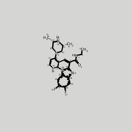 CCNC(=O)C1=CC2=C(N3C[C@@H](C)N[C@@H](C)C3)C=CNC2n2c1nc1cc(F)c(F)cc12